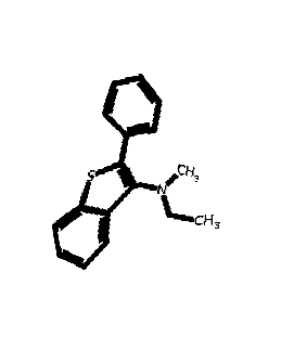 CCN(C)c1c(-c2ccccc2)sc2ccccc12